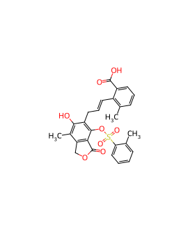 Cc1ccccc1S(=O)(=O)Oc1c(CC=Cc2c(C)cccc2C(=O)O)c(O)c(C)c2c1C(=O)OC2